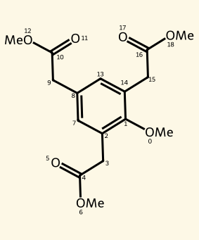 [CH2]Oc1c(CC(=O)OC)cc(CC(=O)OC)cc1CC(=O)OC